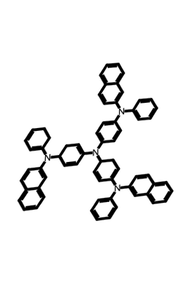 C1=CCCC(N(c2ccc3ccccc3c2)C2C=CC(N(c3ccc(N(c4ccccc4)c4ccc5ccccc5c4)cc3)C3C=CC(N(c4ccccc4)c4ccc5ccccc5c4)=CC3)=CC2)=C1